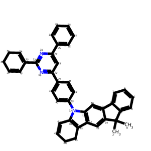 CC1(C)c2ccccc2-c2cc3c(cc21)c1c(n3-c2ccc(-c3cc(-c4ccccc4)nc(C4=CCCC=C4)n3)cc2)C=CCC1